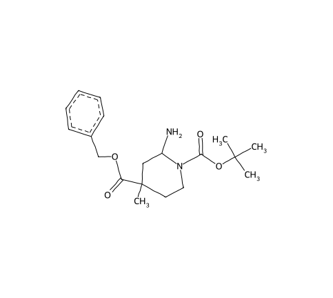 CC(C)(C)OC(=O)N1CCC(C)(C(=O)OCc2ccccc2)CC1N